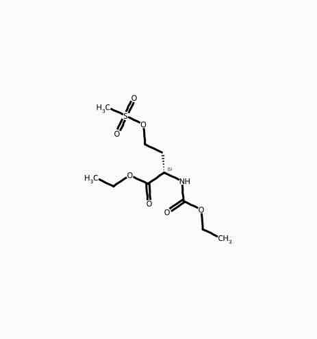 CCOC(=O)N[C@@H](CCOS(C)(=O)=O)C(=O)OCC